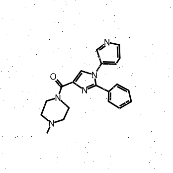 CN1CCN(C(=O)c2cn(-c3cccnc3)c(-c3ccccc3)n2)CC1